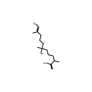 C=C(O)C(C)CCCC(C)(O)CCC/C(C)=C/CC